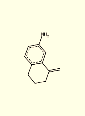 C=C1CCCc2ccc(N)cc21